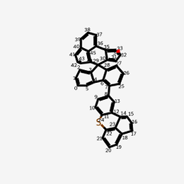 c1ccc2c(c1)-c1c(-c3ccc4c(c3)-c3cccc5cccc(c35)S4)cccc1C21c2ccccc2-c2cccc3cccc1c23